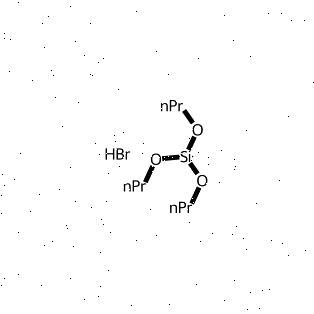 Br.CCCO[Si](OCCC)OCCC